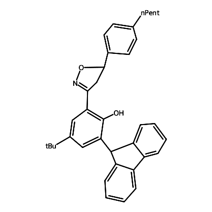 CCCCCc1ccc(C2CC(c3cc(C(C)(C)C)cc(C4c5ccccc5-c5ccccc54)c3O)=NO2)cc1